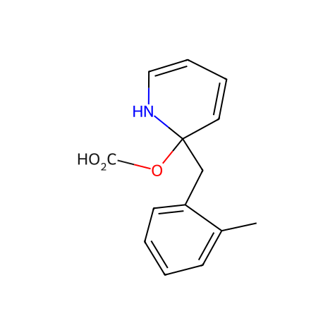 Cc1ccccc1CC1(OC(=O)O)C=CC=CN1